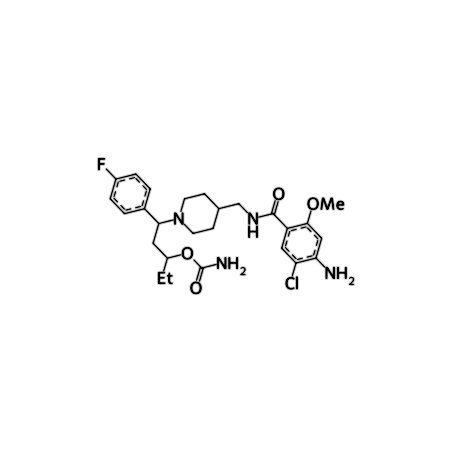 CCC(CC(c1ccc(F)cc1)N1CCC(CNC(=O)c2cc(Cl)c(N)cc2OC)CC1)OC(N)=O